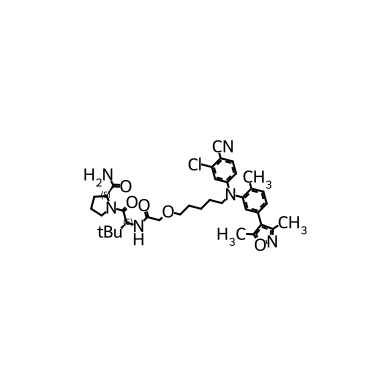 Cc1ccc(-c2c(C)noc2C)cc1N(CCCCCOCC(=O)N[C@H](C(=O)N1CCC[C@H]1C(N)=O)C(C)(C)C)c1ccc(C#N)c(Cl)c1